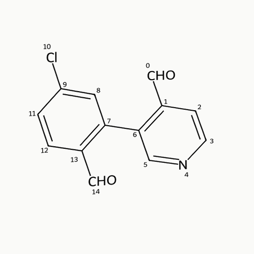 O=Cc1ccncc1-c1cc(Cl)ccc1C=O